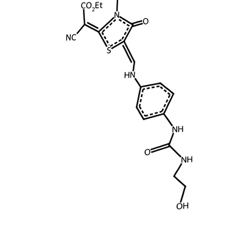 CCOC(=O)C(C#N)=c1sc(=CNc2ccc(NC(=O)NCCO)cc2)c(=O)n1CC